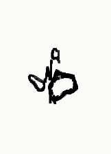 [O]=[Al][Cl].c1ccncc1